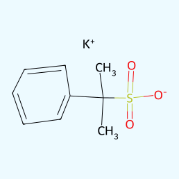 CC(C)(c1ccccc1)S(=O)(=O)[O-].[K+]